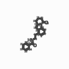 O=C(NCCc1cccc2c1cc1n2C(=O)CCC1)c1ccccc1